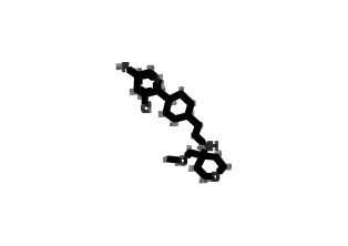 COCC1(NCCC2CCC(c3ncc(F)cc3Cl)CC2)CCOCC1